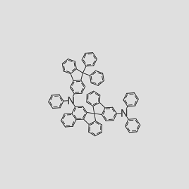 c1ccc(N(c2ccccc2)c2ccc3c(c2)-c2ccccc2C32c3ccccc3-c3c2cc(N(c2ccccc2)c2ccc4c(c2)-c2ccccc2C4(c2ccccc2)c2ccccc2)c2ccccc32)cc1